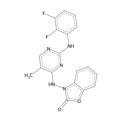 Cc1cnc(Nc2cccc(F)c2F)nc1Nn1c(=O)oc2ccccc21